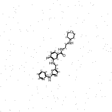 O=C(NCCNC1CCOCC1)c1ccc(F)c(NCc2cnc(Nc3ccccn3)s2)c1